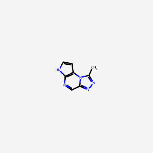 Cc1nnc2cnc3[nH]ccc3n12